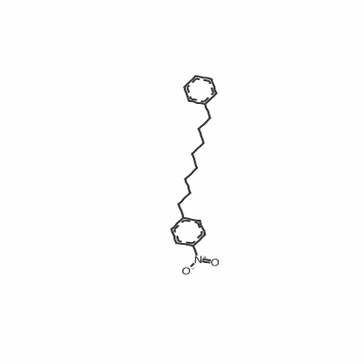 O=[N+]([O-])c1ccc(CCCCCCCCc2ccccc2)cc1